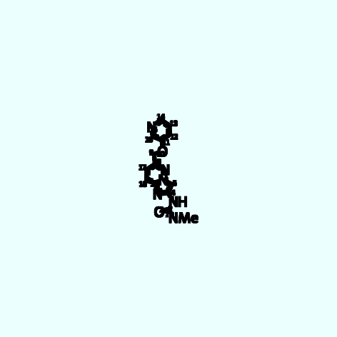 CNC(=O)Nc1cn2nc(COc3cccnc3)ccc2n1